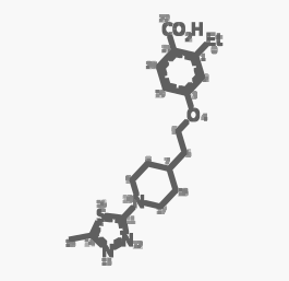 CCc1cc(OCCC2CCN(c3nnc(C)s3)CC2)ccc1C(=O)O